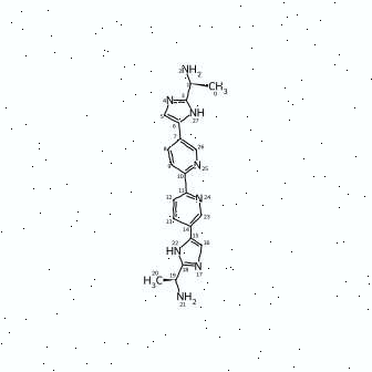 C[C@H](N)c1ncc(-c2ccc(-c3ccc(-c4cnc([C@H](C)N)[nH]4)cn3)nc2)[nH]1